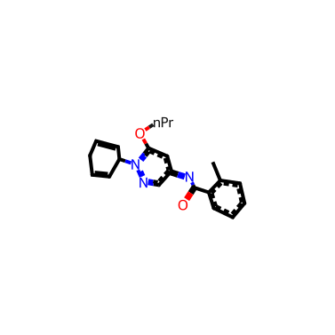 CCCOc1cc(=NC(=O)c2ccccc2C)cnn1C1C=CCC=C1